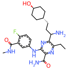 CCc1nc(C(N)=O)c(Nc2ccc(F)c(C(=O)NC)c2)nc1C(N)CC[C@H]1CC[C@H](O)CC1